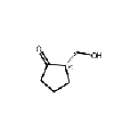 O=C1CCC[C@H]1CO